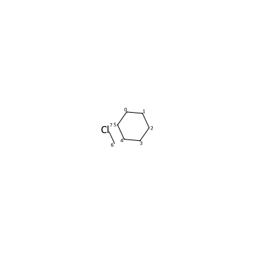 C1CCCCC1.CCl